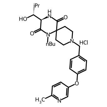 CCCCN1C(=O)[C@@H]([C@H](O)C(C)C)NC(=O)C12CCN(Cc1ccc(Oc3ccc(C)nc3)cc1)CC2.Cl